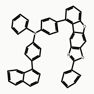 c1ccc(-c2nc3cc4c(cc3o2)oc2cccc(-c3ccc(N(c5ccccc5)c5ccc(-c6cccc7ccccc67)cc5)cc3)c24)cc1